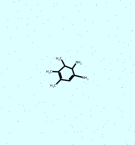 CC1=C(C)C(C)C(N)C(N)=C1